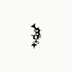 C[C@@H]1CN(C(=O)OC(C)(C)C)C[C@H]2Cc3ccc(C4CC4)nc3N21